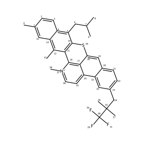 Cc1ccc2c(CC(C)C)c3c(c(C)c2c1)-c1c2c(cc4ccc(CC(C)(C)C(F)(F)F)cc4c2cc[n+]1C)S3